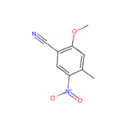 COc1cc(C)c([N+](=O)[O-])cc1C#N